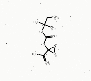 C=C(C)C1(OC(=O)OC(C)(C)CC)OO1